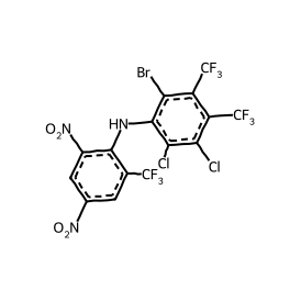 O=[N+]([O-])c1cc([N+](=O)[O-])c(Nc2c(Cl)c(Cl)c(C(F)(F)F)c(C(F)(F)F)c2Br)c(C(F)(F)F)c1